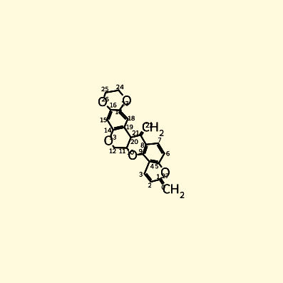 C=C1C=Cc2c(ccc3c2OC2COc4cc5c(cc4C2C3=C)OCCO5)O1